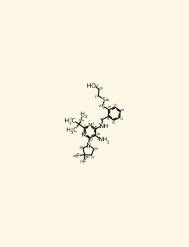 CC(C)(C)c1nc(NCc2ccccc2SSCCO)c(N)c(N2CCC(F)(F)C2)n1